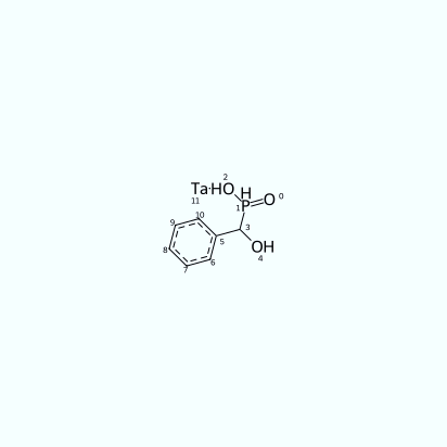 O=[PH](O)C(O)c1ccccc1.[Ta]